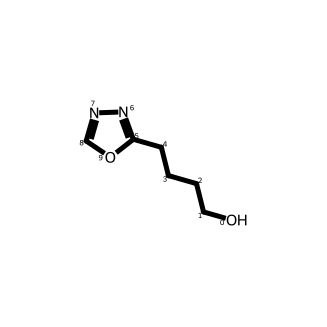 OCCCCc1nnco1